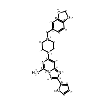 Nc1nc(N2CCN(Cc3ccc4c(c3)OCO4)CC2)cc2nc(-c3ccco3)nn12